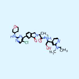 CCN(C)c1cc(C(CO)NC(=O)C(C)N2Cc3ccc(-c4nc(NC5CCOCC5)ncc4Cl)cc3C2=O)ccn1